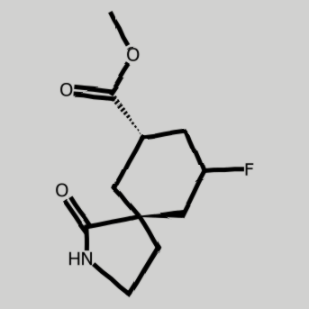 COC(=O)[C@@H]1CC(F)C[C@]2(CCNC2=O)C1